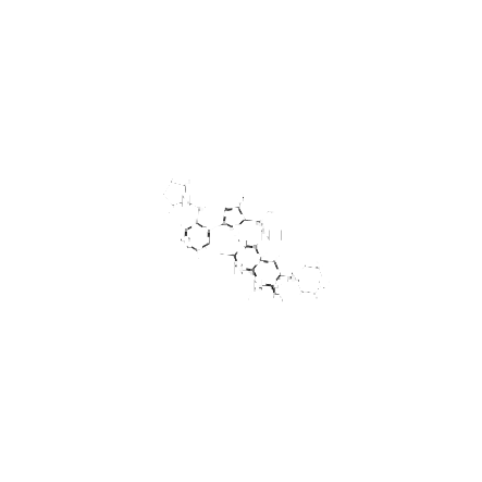 Cc1nc(N[C@H](C)c2sc(-c3ccncc3CN3CCCC3)cc2F)c2cc(N3CCOCC3)c(=O)n(C)c2n1